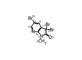 CN1C(=O)C(Br)(Br)c2cc(Br)cnc21